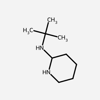 CC(C)(C)NC1CCCCN1